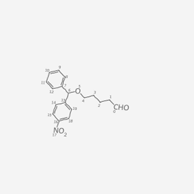 O=CCCCCOC(c1ccccc1)c1ccc([N+](=O)[O-])cc1